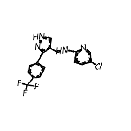 FC(F)(F)c1ccc(-c2n[nH]cc2CNc2ccc(Cl)cn2)cc1